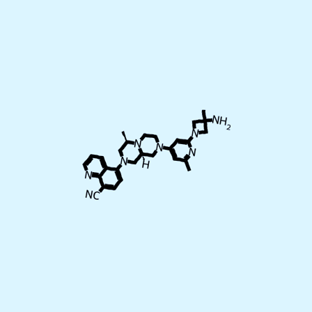 Cc1cc(N2CCN3[C@@H](C2)CN(c2ccc(C#N)c4ncccc24)C[C@H]3C)cc(N2CC(C)(N)C2)n1